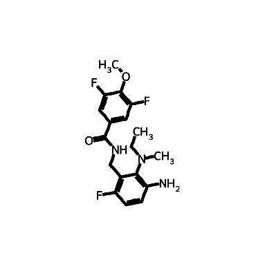 CCN(C)c1c(N)ccc(F)c1CNC(=O)c1cc(F)c(OC)c(F)c1